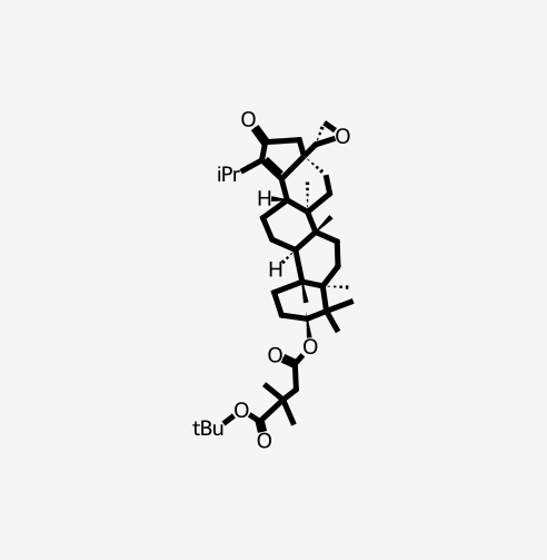 CC(C)C1=C2[C@H]3CC[C@@H]4[C@@]5(C)CC[C@H](OC(=O)CC(C)(C)C(=O)OC(C)(C)C)C(C)(C)[C@]5(C)CC[C@@]4(C)[C@]3(C)CC[C@@]2([C@@H]2CO2)CC1=O